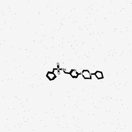 O=S(=O)(Cc1ccccc1)NCc1ccc(N2CCN(C3CCCC3)CC2)nc1